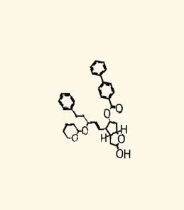 O=C(O[C@@H]1C[C@@H]2OC(O)C[C@@H]2[C@H]1/C=C/[C@H](CCc1ccccc1)OC1CCCCO1)c1ccc(-c2ccccc2)cc1